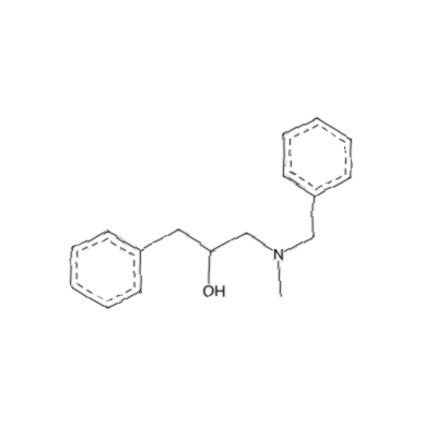 CN(Cc1ccccc1)CC(O)Cc1ccccc1